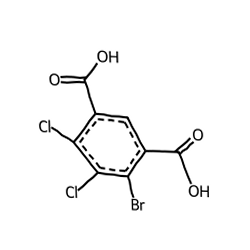 O=C(O)c1cc(C(=O)O)c(Br)c(Cl)c1Cl